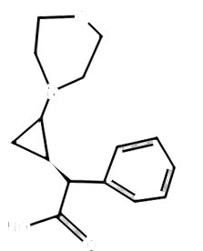 O=C(O)C(c1ccccc1)[C@H]1CC1N1CCOCC1